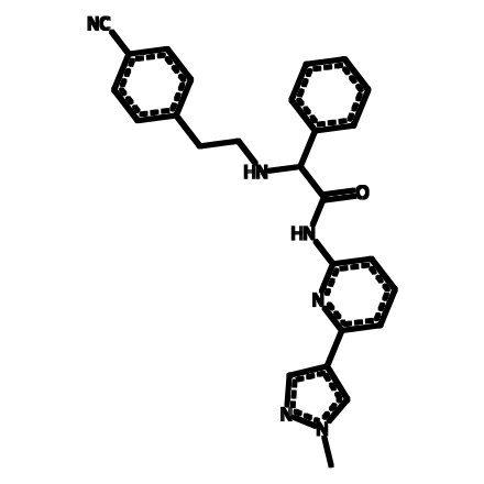 Cn1cc(-c2cccc(NC(=O)C(NCCc3ccc(C#N)cc3)c3ccccc3)n2)cn1